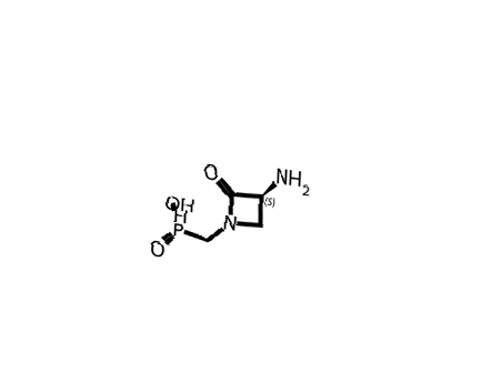 N[C@H]1CN(C[PH](=O)O)C1=O